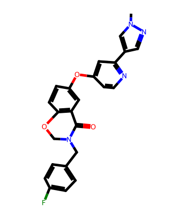 Cn1cc(-c2cc(Oc3ccc4c(c3)C(=O)N(Cc3ccc(F)cc3)CO4)ccn2)cn1